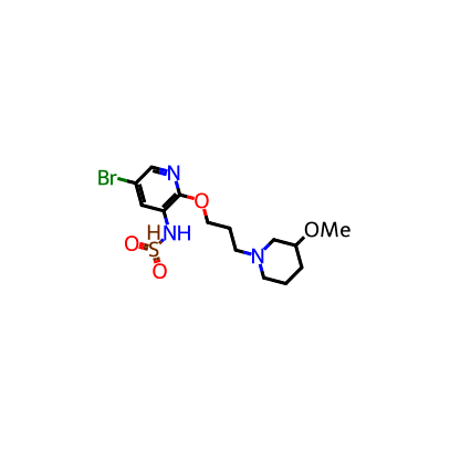 COC1CCCN(CCCOc2ncc(Br)cc2N[SH](=O)=O)C1